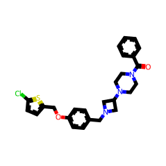 O=C(c1ccccc1)N1CCN(C2CN(Cc3ccc(OCc4ccc(Cl)s4)cc3)C2)CC1